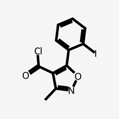 Cc1noc(-c2ccccc2I)c1C(=O)Cl